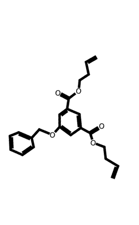 C=CCCOC(=O)c1cc(OCc2ccccc2)cc(C(=O)OCCC=C)c1